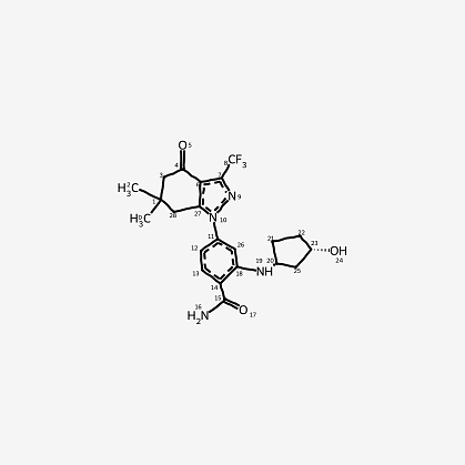 CC1(C)CC(=O)c2c(C(F)(F)F)nn(-c3ccc(C(N)=O)c(N[C@@H]4CC[C@H](O)C4)c3)c2C1